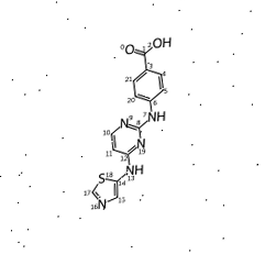 O=C(O)c1ccc(Nc2nccc(Nc3cncs3)n2)cc1